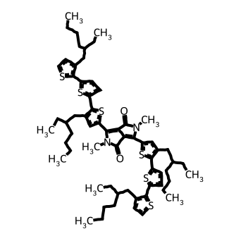 CCCCC(CC)Cc1ccsc1-c1ccc(-c2sc(C3=C4C(=O)N(C)C(c5cc(CC(CC)CCCC)c(-c6ccc(-c7sccc7CC(CC)CCCC)s6)s5)=C4C(=O)N3C)cc2CC(CC)CCCC)s1